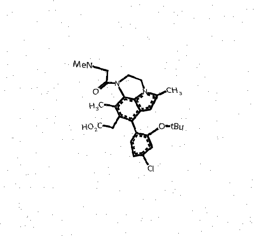 CNCC(=O)N1CCn2c(C)cc3c(-c4ccc(Cl)cc4OC(C)(C)C)c(CC(=O)O)c(C)c1c32